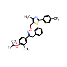 CCC(Oc1ccc(C(Cc2ccccc2)=NOCc2sc(-c3ccc(C(F)(F)F)cc3)nc2C)cc1C)C(=O)O